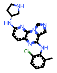 Cc1cccc(Cl)c1Nc1nc2ccc(N[C@@H]3CCNC3)nc2n2cncc12